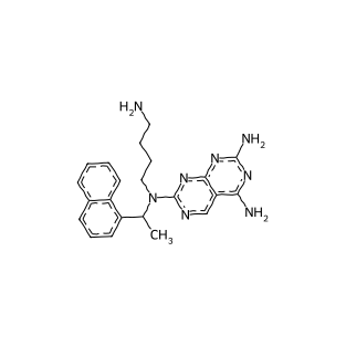 CC(c1cccc2ccccc12)N(CCCCN)c1ncc2c(N)nc(N)nc2n1